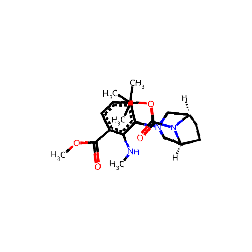 CNc1c(C(=O)OC)cccc1N1C[C@H]2CC[C@@H](C1)N2C(=O)OC(C)(C)C